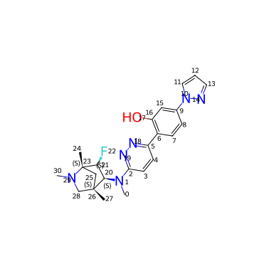 CN(c1ccc(-c2ccc(-n3cccn3)cc2O)nn1)[C@@H]1[C@H](F)[C@]2(C)C[C@@]1(C)CN2C